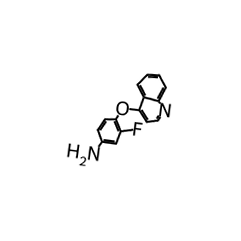 Nc1ccc(Oc2ccnc3ccccc23)c(F)c1